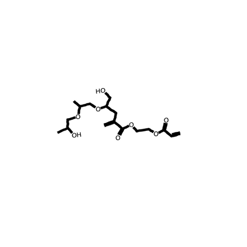 C=CC(=O)OCCOC(=O)C(=C)CC(CO)OCC(C)OCC(C)O